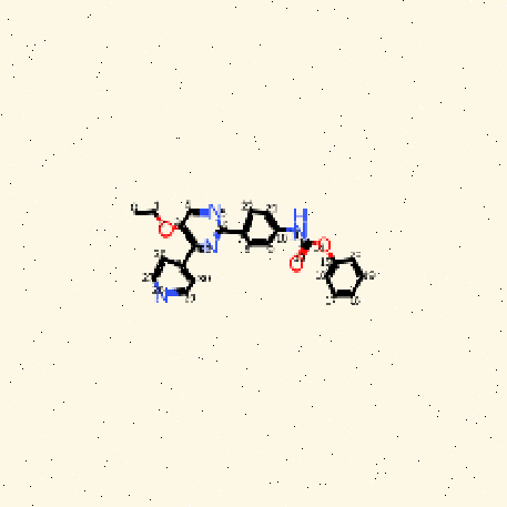 CCOc1cnc(-c2ccc(NC(=O)Oc3ccccc3)cc2)nc1-c1ccncc1